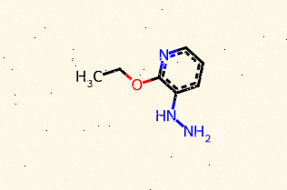 CCOc1ncccc1NN